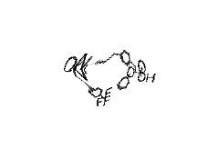 CN1C(=O)N(Cc2ccc(C(F)(F)F)cc2)C[C@H]1CCCc1ccc(C[C@](C)(Oc2ccccc2)C(=O)O)cc1